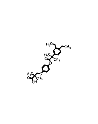 CCc1ccc(C(C)(C)C(=O)Oc2ccc(SCC(C)(C)C(=O)O)cc2)cc1CC